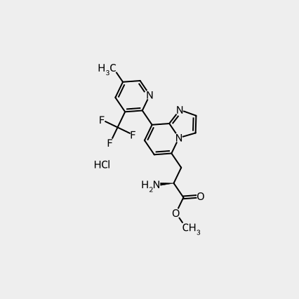 COC(=O)[C@@H](N)Cc1ccc(-c2ncc(C)cc2C(F)(F)F)c2nccn12.Cl